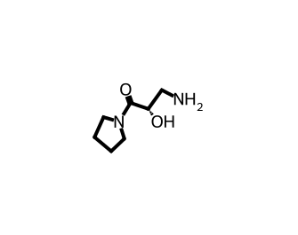 NC[C@H](O)C(=O)N1CCCC1